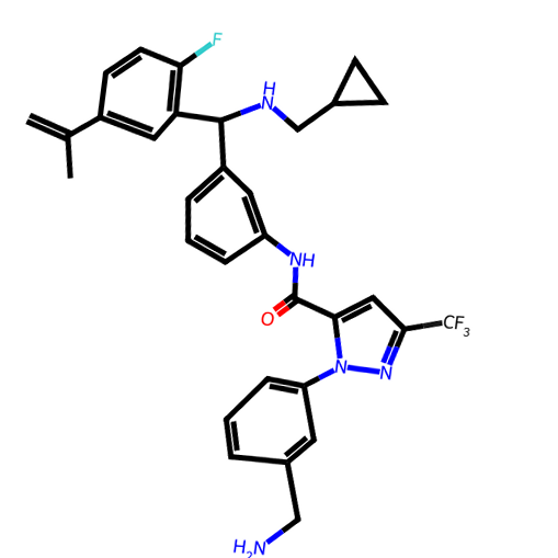 C=C(C)c1ccc(F)c(C(NCC2CC2)c2cccc(NC(=O)c3cc(C(F)(F)F)nn3-c3cccc(CN)c3)c2)c1